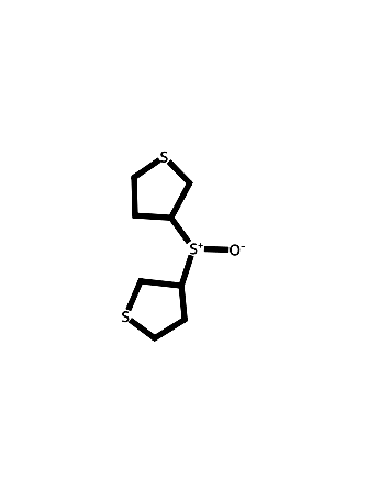 [O-][S+](C1CCSC1)C1CCSC1